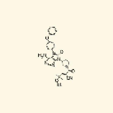 CCOC(C)(C)C=C(C#N)C(=O)N1CCC(n2c(=O)n(-c3ccc(Oc4ccccc4)cc3)c3c(N)ncnc32)C1